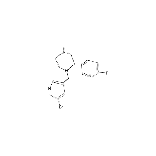 Fc1ccc(C2CNCCN2Cc2cncc(Br)c2)cc1